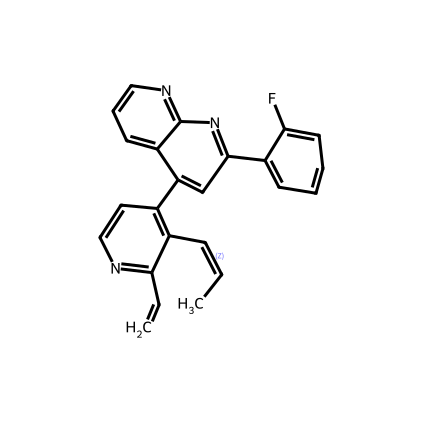 C=Cc1nccc(-c2cc(-c3ccccc3F)nc3ncccc23)c1/C=C\C